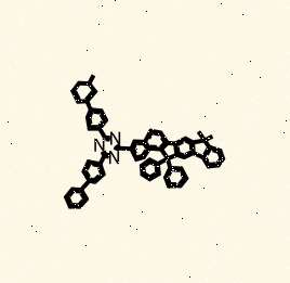 CC1C=C(c2ccc(-c3nc(-c4ccc(-c5ccccc5)cc4)nc(-c4ccc5c6c(ccc5c4)-c4cc5c(cc4C6(c4ccccc4)c4ccccc4)-c4ccccc4C5(C)C)n3)cc2)C=CC1